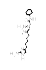 C=N/C(=C\N(N)CC(=O)Nc1ccccc1)CCCCCc1c[nH]c(N)n1